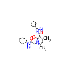 Cc1cc(C)n(CC(=O)NC2CCCCC2)c(=O)c1-c1nc(-c2ccccc2)no1